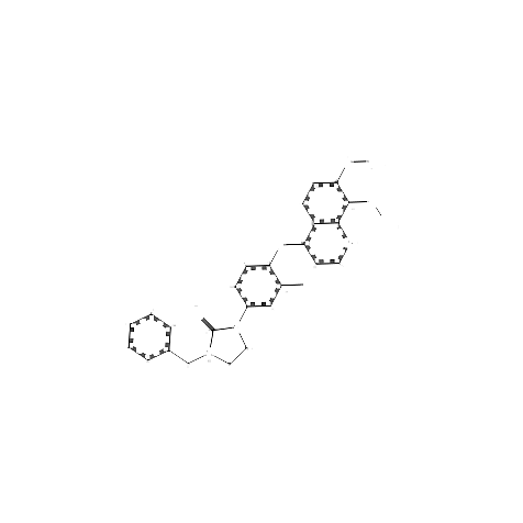 COc1ccc2c(Oc3ccc(N4CCN(Cc5ccccc5)C4=O)cc3F)ccnc2c1OC